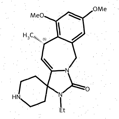 CCN1C(=O)N2Cc3cc(OC)cc(OC)c3[C@@H](C)C=C2C12CCNCC2